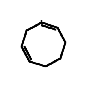 [C]1=CCCCC=CC1